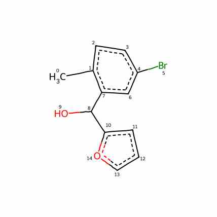 Cc1ccc(Br)cc1C(O)c1ccco1